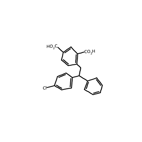 O=C(O)c1ccc(CC(c2ccccc2)c2ccc(Cl)cc2)c(C(=O)O)c1